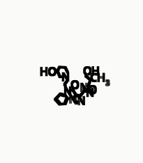 CC(CO)c1nc(-c2ncn3c2c(=O)n(CCN2CCCC(O)C2)c2ccccc23)no1